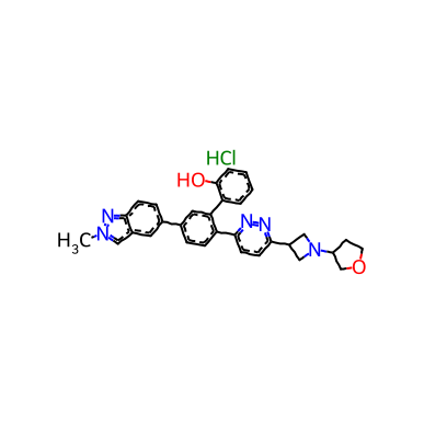 Cl.Cn1cc2cc(-c3ccc(-c4ccc(C5CN(C6CCOC6)C5)nn4)c(-c4ccccc4O)c3)ccc2n1